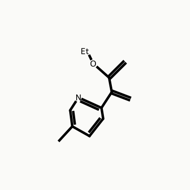 C=C(OCC)C(=C)c1ccc(C)cn1